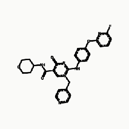 O=C(NC1CCOCC1)c1cn(Cc2ccncc2)c(Nc2ccc(Oc3cccc(F)n3)cc2)nc1=O